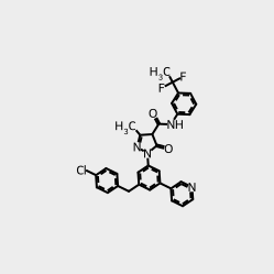 CC1=NN(c2cc(Cc3ccc(Cl)cc3)cc(-c3cccnc3)c2)C(=O)C1C(=O)Nc1cccc(C(C)(F)F)c1